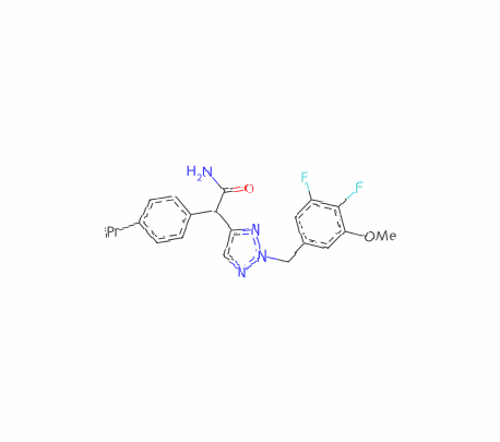 COc1cc(Cn2ncc(C(C(N)=O)c3ccc(C(C)C)cc3)n2)cc(F)c1F